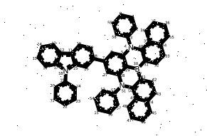 c1ccc(N2c3cc(-c4ccc5c6ccccc6n(-c6ccccc6)c5c4)cc4c3B(c3ccc5ccccc5c32)c2ccc3ccccc3c2N4c2ccccc2)cc1